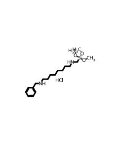 CO[Si](CNCCCCCCCCNCc1ccccc1)(OC)OC.Cl